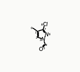 Cc1cn(C=O)nc1Cl